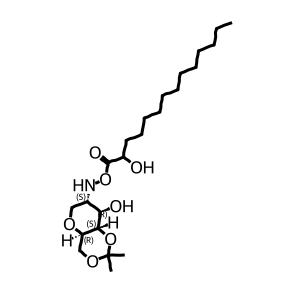 CCCCCCCCCCCCC(O)C(=O)ON[C@H]1CO[C@@H]2COC(C)(C)O[C@H]2[C@@H]1O